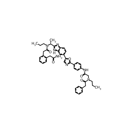 CCCN(CC(=O)Nc1ccc(-c2ncc(-c3ccc4nc([C@H](C)N(CCC)C(=O)Cc5ccccc5CC(N)=O)[nH]c4c3)o2)cc1)C(=O)Cc1ccccc1